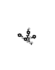 CC(=O)OCS(=O)(=O)c1ccc(OCc2ccccc2)cc1C(COCc1ccccc1)C(C)Cc1ccc(C=O)cc1